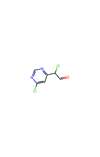 O=CC(Cl)c1cc(Cl)ncn1